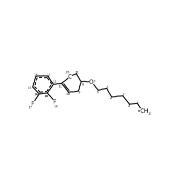 CCCCCCCOC1CC=C(c2cccc(F)c2F)CC1